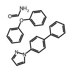 NC=O.c1ccc(-c2ccc(-n3cccn3)cc2)cc1.c1ccc(Oc2ccccc2)cc1